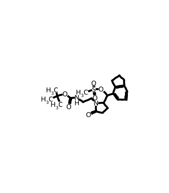 CC(C)(C)OC(=O)NCCN1C(=O)CCC1C(OS(C)(=O)=O)c1cccc2c1CCC2